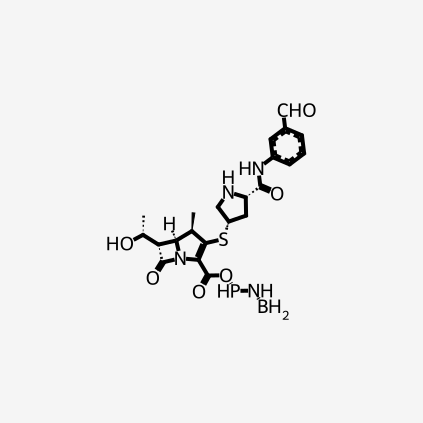 BNPOC(=O)C1=C(S[C@@H]2CN[C@H](C(=O)Nc3cccc(C=O)c3)C2)[C@H](C)[C@@H]2[C@@H]([C@@H](C)O)C(=O)N12